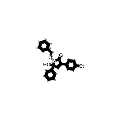 CCc1ccc(C2=CC(O)(c3ccccc3)N(OCc3ccccc3)C2=O)cc1